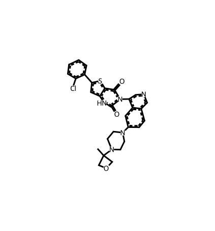 CC1(N2CCN(c3ccc4cncc(-n5c(=O)[nH]c6cc(-c7ccccc7Cl)sc6c5=O)c4c3)CC2)COC1